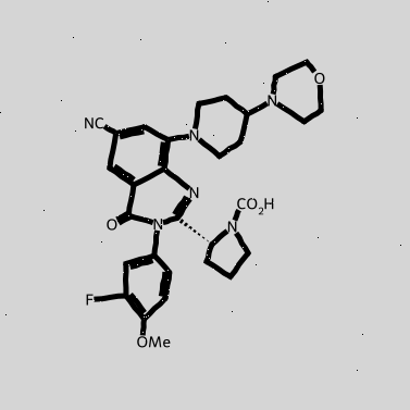 COc1ccc(-n2c([C@H]3CCCN3C(=O)O)nc3c(N4CCC(N5CCOCC5)CC4)cc(C#N)cc3c2=O)cc1F